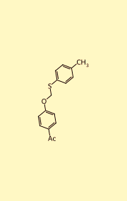 CC(=O)c1ccc(OCSc2ccc(C)cc2)cc1